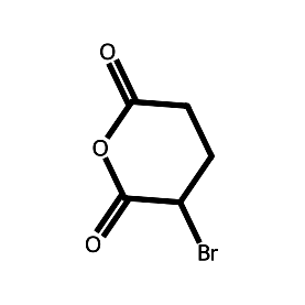 O=C1CCC(Br)C(=O)O1